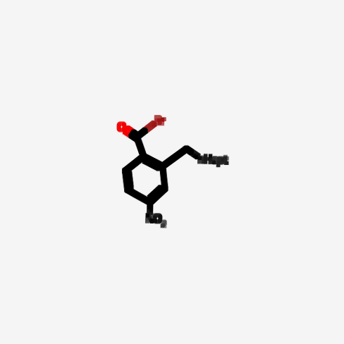 CCCCCCCCc1cc([N+](=O)[O-])ccc1C(=O)Br